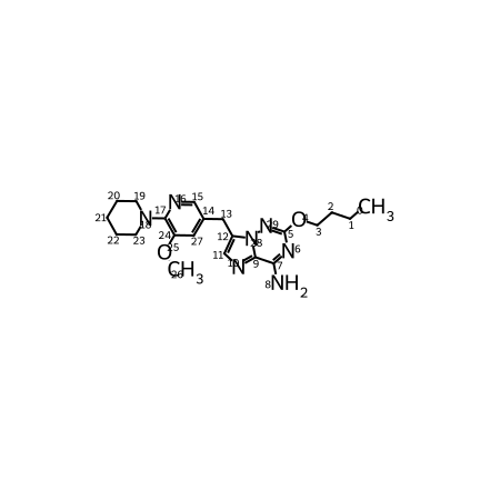 CCCCOc1nc(N)c2ncc(Cc3cnc(N4CCCCC4)c(OC)c3)n2n1